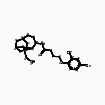 O=C(CCCOc1ccc(Cl)cc1Cl)NC1CCC2CC3CC(C2)C1C3CO